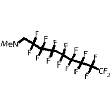 CNCC(F)(F)C(F)(F)C(F)(F)C(F)(F)C(F)(F)C(F)(F)C(F)(F)C(F)(F)F